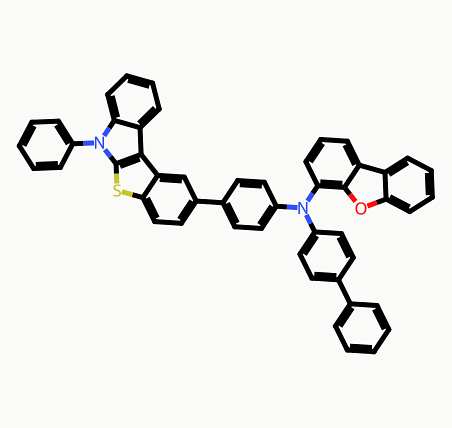 c1ccc(-c2ccc(N(c3ccc(-c4ccc5sc6c(c5c4)c4ccccc4n6-c4ccccc4)cc3)c3cccc4c3oc3ccccc34)cc2)cc1